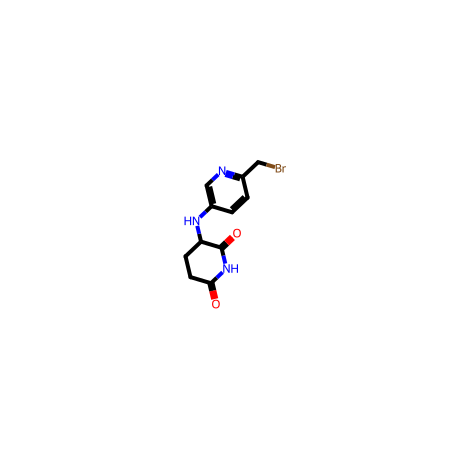 O=C1CCC(Nc2ccc(CBr)nc2)C(=O)N1